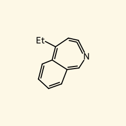 CCC1=c2ccccc2=CN=C=C1